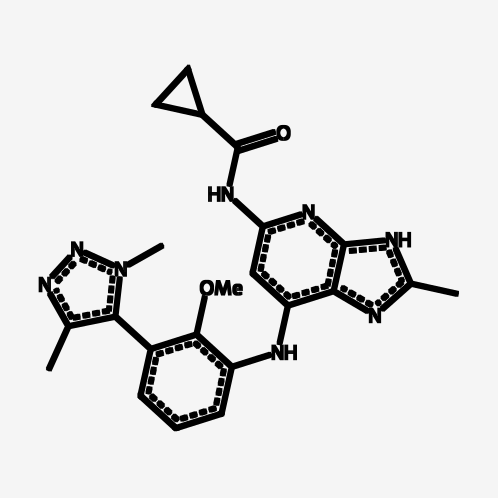 COc1c(Nc2cc(NC(=O)C3CC3)nc3[nH]c(C)nc23)cccc1-c1c(C)nnn1C